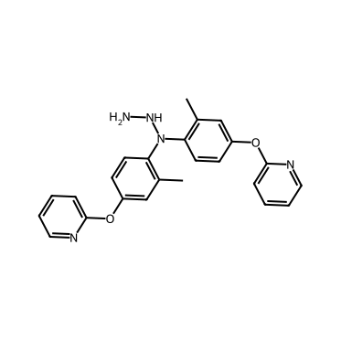 Cc1cc(Oc2ccccn2)ccc1N(NN)c1ccc(Oc2ccccn2)cc1C